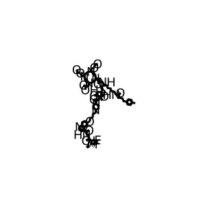 C#C[C@H]1CC(F)(F)CN1C(=O)CNC(=O)c1ccnc2ccc(OCCCCN3CCN(C(=O)CN4C(=O)CC(SCC(CCCCCNC(=O)CCCc5ccc(C)cc5)NC(=O)CN5CCN(COC=O)CCN(COC=O)CCN(CC(=O)O)CC5)C4=O)CC3)cc12